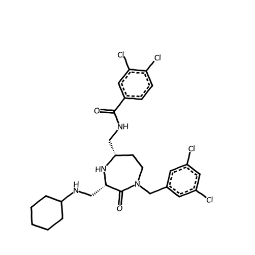 O=C(NC[C@@H]1CCN(Cc2cc(Cl)cc(Cl)c2)C(=O)[C@H](CNC2CCCCC2)N1)c1ccc(Cl)c(Cl)c1